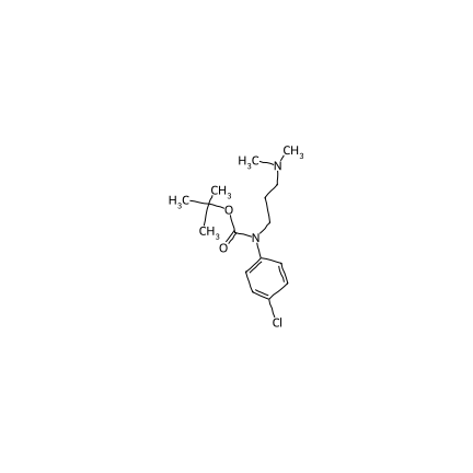 CN(C)CCCN(C(=O)OC(C)(C)C)c1ccc(Cl)cc1